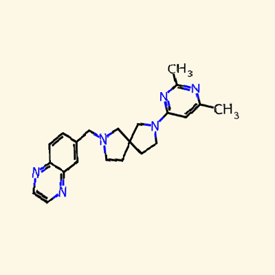 Cc1cc(N2CCC3(CCN(Cc4ccc5nccnc5c4)C3)C2)nc(C)n1